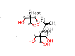 C=C(C)C(=O)O.CCCCCCCC(CO)(CO)CO.CCCCCCCC(CO)(CO)CO